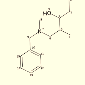 CCC(O)C(C)CN(C)Cc1ccccc1